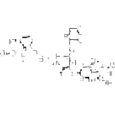 COC(=O)c1c(O)cccc1OCCCCNC(=O)C(Cc1ccc(C2CC(=O)NS2(O)O)c(C#N)c1)NC(=O)OCc1ccccc1